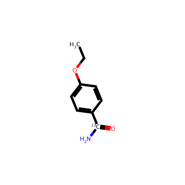 CCOc1ccc([13C](N)=O)cc1